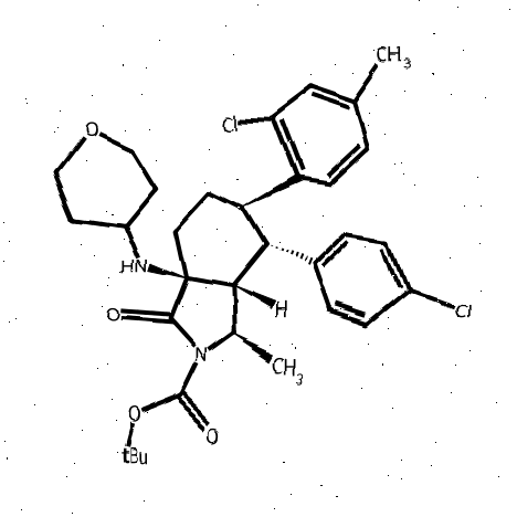 Cc1ccc([C@@H]2CC[C@@]3(NC4CCOCC4)C(=O)N(C(=O)OC(C)(C)C)[C@H](C)[C@H]3[C@H]2c2ccc(Cl)cc2)c(Cl)c1